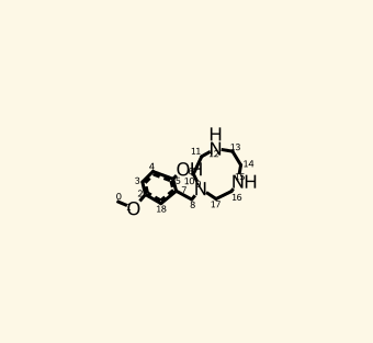 COc1ccc(O)c(CN2CCNCCNCC2)c1